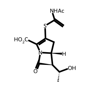 C=C(NC(C)=O)SC1=C(C(=O)O)N2C(=O)[C@H]([C@@H](C)O)[C@H]2C1